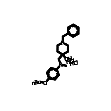 CCCCOc1ccc(N(C)CC2(O)CCN(Cc3ccccc3)CC2)cc1.Cl.Cl